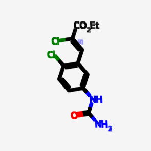 CCOC(=O)/C(Cl)=C/c1cc(NC(N)=O)ccc1Cl